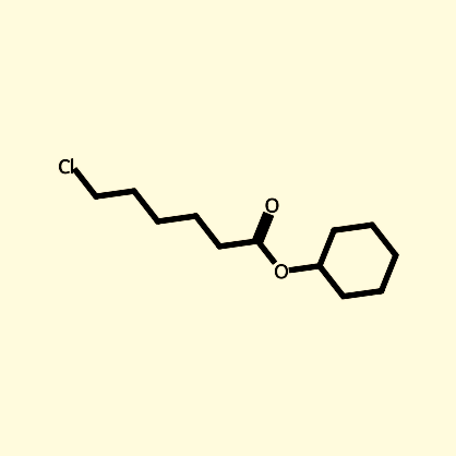 O=C(CCCCCCl)OC1CCCCC1